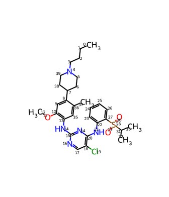 CCCCN1CCC(c2cc(OC)c(Nc3ncc(Cl)c(Nc4ccccc4S(=O)(=O)C(C)C)n3)cc2C)CC1